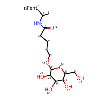 CCCCCC(C)NC(=O)CCCCOC1OC(CO)C(O)C(O)C1O